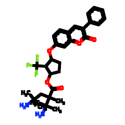 CC(C)(N)CC(C)(C(=O)OC1CCC(Oc2ccc3cc(-c4ccccc4)c(=O)oc3c2)C1C(F)(F)F)C(C)(C)N